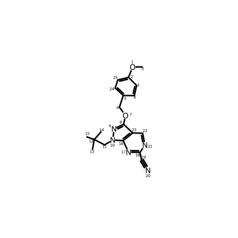 COc1ccc(COc2nn(CC(C)(C)C)c3nc(C#N)ncc23)cc1